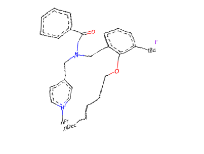 CCCCCCCCCCCCCCOc1c(CN(Cc2cc[n+](CCC)cc2)C(=O)c2ccccc2)cccc1C(C)(C)C.[I-]